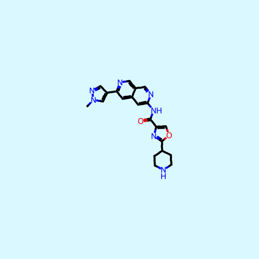 Cn1cc(-c2cc3cc(NC(=O)c4coc(C5CCNCC5)n4)ncc3cn2)cn1